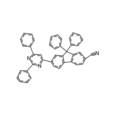 N#Cc1ccc2c(c1)C(c1ccccc1)(c1ccccc1)c1cc(-c3cc(-c4ccccc4)nc(-c4ccccc4)n3)ccc1-2